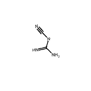 N#C[N]C(=N)N